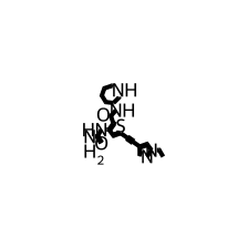 CCn1cc(C#Cc2cc(NC(N)=O)c(C(=O)NC3CCCCNC3)s2)cn1